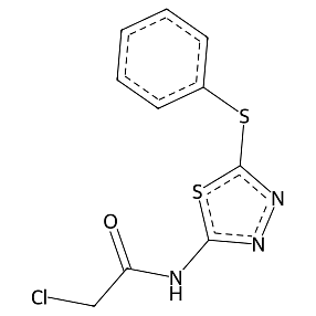 O=C(CCl)Nc1nnc(Sc2ccccc2)s1